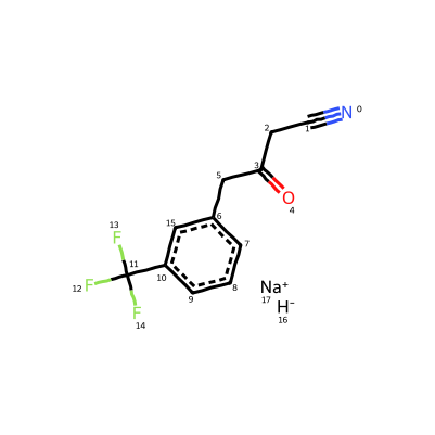 N#CCC(=O)Cc1cccc(C(F)(F)F)c1.[H-].[Na+]